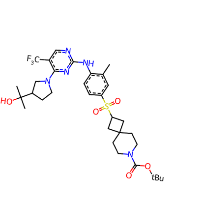 Cc1cc(S(=O)(=O)C2CC3(CCN(C(=O)OC(C)(C)C)CC3)C2)ccc1Nc1ncc(C(F)(F)F)c(N2CCC(C(C)(C)O)C2)n1